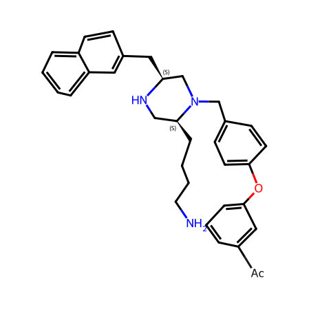 CC(=O)c1cccc(Oc2ccc(CN3C[C@H](Cc4ccc5ccccc5c4)NC[C@@H]3CCCCN)cc2)c1